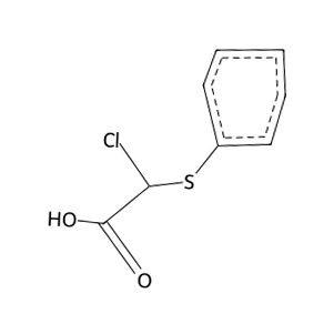 O=C(O)C(Cl)Sc1ccccc1